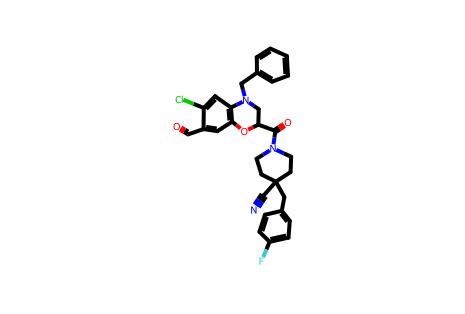 N#CC1(Cc2ccc(F)cc2)CCN(C(=O)C2CN(Cc3ccccc3)c3cc(Cl)c(C=O)cc3O2)CC1